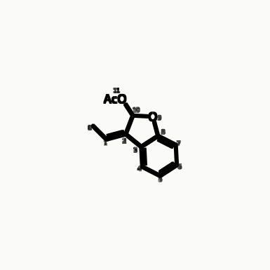 CC=C1c2ccccc2OC1OC(C)=O